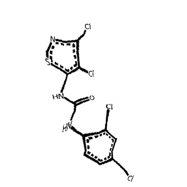 O=C(Nc1ccc(Cl)cc1Cl)Nc1snc(Cl)c1Cl